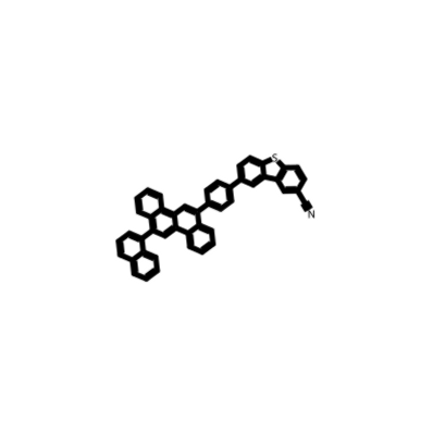 N#Cc1ccc2sc3ccc(-c4ccc(-c5cc6c7ccccc7c(-c7cccc8ccccc78)cc6c6ccccc56)cc4)cc3c2c1